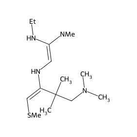 CCN/C(=C\N/C(=C/SC)C(C)(C)CN(C)C)NC